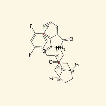 N[C@@H](Cc1cc(F)c(F)cc1F)[C@@H]1C[C@H]2CC[C@@H](C1)N2C(=O)CN1C(=O)c2ccccc2C1=O